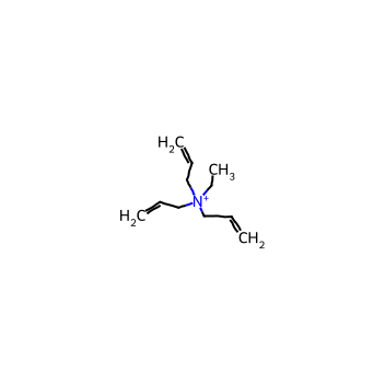 C=CC[N+](CC)(CC=C)CC=C